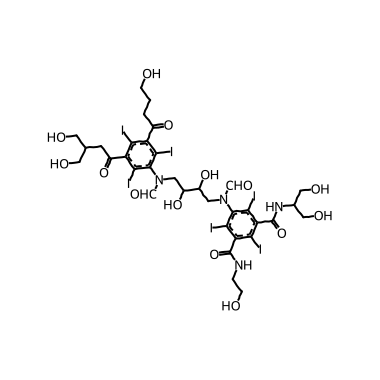 O=CN(CC(O)C(O)CN(C=O)c1c(I)c(C(=O)NCCO)c(I)c(C(=O)NC(CO)CO)c1I)c1c(I)c(C(=O)CCCO)c(I)c(C(=O)CC(CO)CO)c1I